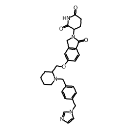 O=C1CCC(N2Cc3cc(OCC4CCCCN4Cc4ccc(Cn5ccnc5)cc4)ccc3C2=O)C(=O)N1